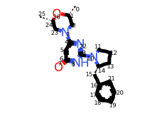 C[C@@H]1CN(c2cc(=O)[nH]c(N3CCC[C@@H]3Cc3ccccc3)n2)C[C@H](C)O1